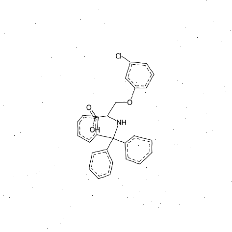 O=C(O)C(COc1cccc(Cl)c1)NC(c1ccccc1)(c1ccccc1)c1ccccc1